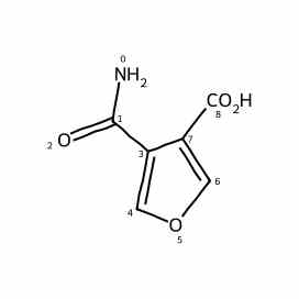 NC(=O)c1cocc1C(=O)O